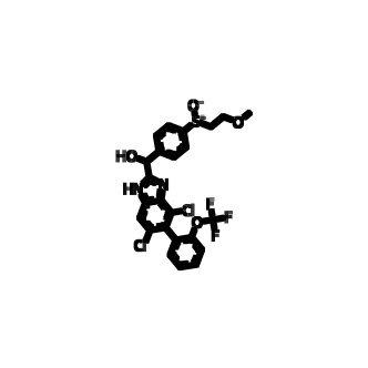 COCC[S+]([O-])c1ccc(C(O)c2nc3c(Cl)c(-c4ccccc4OC(F)(F)F)c(Cl)cc3[nH]2)cc1